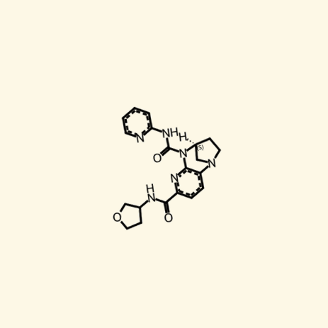 O=C(NC1CCOC1)c1ccc2c(n1)N(C(=O)Nc1ccccn1)[C@H]1CCN2C1